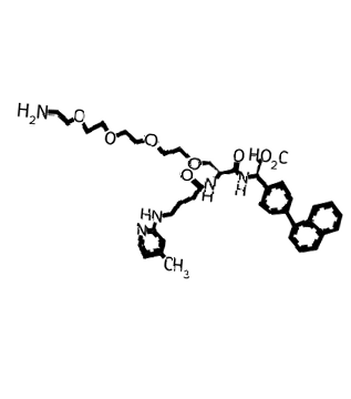 Cc1ccnc(NCCCC(=O)N[C@@H](COCCOCCOCCOCCN)C(=O)N[C@@H](CC(=O)O)c2ccc(-c3cccc4ccccc34)cc2)c1